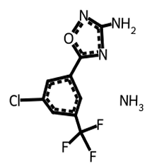 N.Nc1noc(-c2cc(Cl)cc(C(F)(F)F)c2)n1